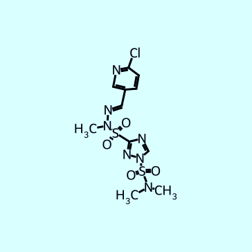 CN(/N=C/c1ccc(Cl)nc1)S(=O)(=O)c1ncn(S(=O)(=O)N(C)C)n1